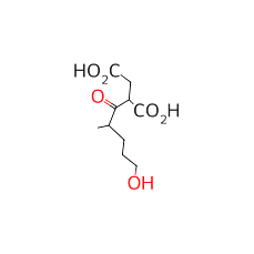 CC(CCCO)C(=O)C(CC(=O)O)C(=O)O